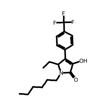 CCCCCCN1C(=O)C(O)=C(c2ccc(C(F)(F)F)cc2)C1CC